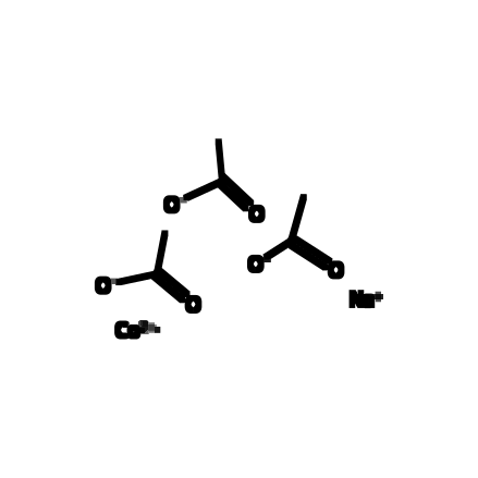 CC(=O)[O-].CC(=O)[O-].CC(=O)[O-].[Co+2].[Na+]